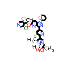 Cc1nn(CC(C)(C)O)cc1-c1ncc(-c2nn(C3CCCCO3)c3ccc(O[C@H](C)c4c(Cl)cncc4Cl)nc23)cc1F